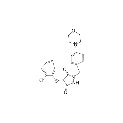 O=C1NN(Cc2ccc(N3CCOCC3)cc2)C(=O)C1Sc1ccccc1Cl